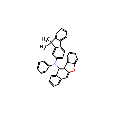 CC1(C)c2ccccc2-c2ccc(N(c3ccccc3)c3c4ccccc4cc4oc5ccccc5c34)cc21